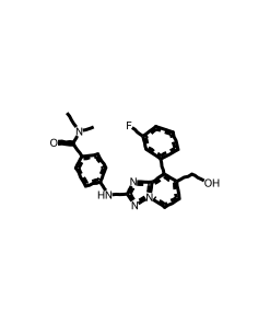 CN(C)C(=O)c1ccc(Nc2nc3c(-c4cccc(F)c4)c(CO)ccn3n2)cc1